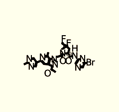 CC(=O)c1nn(CC(=O)N2C[C@@](F)(CF)C[C@H]2C(=O)Nc2cncc(Br)n2)c2c(C)nc(-c3cnc(C)nc3)cc12